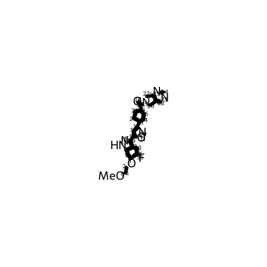 COCCOc1cc2[nH]nc(-c3cc(-c4ccc(C(=O)N5Cc6cncnc6C5)cc4)no3)c2cc1F